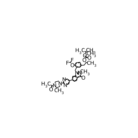 CC(=O)N1CCN(c2ncc(-c3ccc4c(=O)n(C)n(Cc5cc(CC(C)OC(=O)OC(C)(C)C)ccc5OC(F)F)c4c3)cn2)CC1C